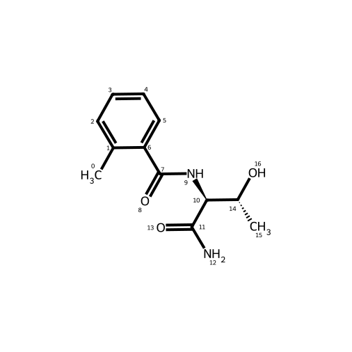 Cc1ccccc1C(=O)N[C@H](C(N)=O)[C@@H](C)O